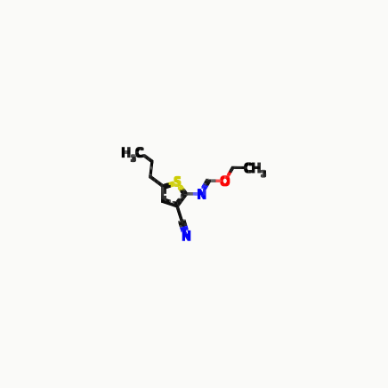 CCCc1cc(C#N)c(N=COCC)s1